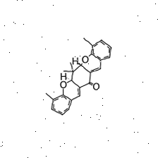 Cc1cccc2c1O[C@@H]1C(=C2)C(=O)C2=Cc3cccc(C)c3O[C@H]2C1(C)C